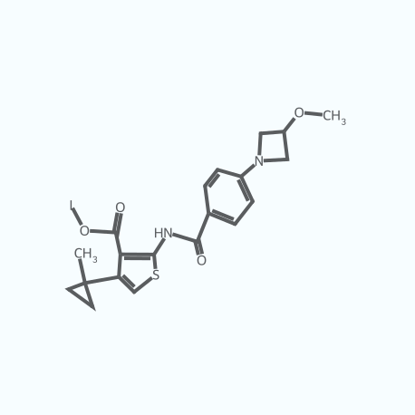 COC1CN(c2ccc(C(=O)Nc3scc(C4(C)CC4)c3C(=O)OI)cc2)C1